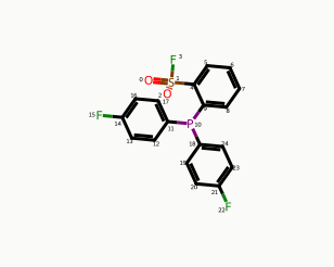 O=S(=O)(F)c1ccccc1P(c1ccc(F)cc1)c1ccc(F)cc1